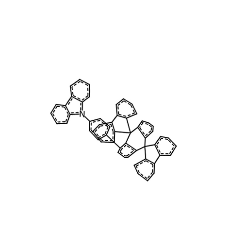 c1ccc2c(c1)-c1ccccc1C21c2ccccc2C2(c3ccccc3-c3ccccc32)c2c(-c3ccc(-n4c5ccccc5c5ccccc54)cc3)cccc21